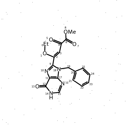 CCOC(=CC(=O)C(=O)OC)c1nc2c(=O)[nH]cnc2n1Cc1ccccc1